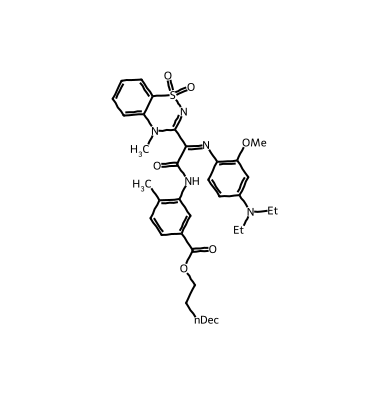 CCCCCCCCCCCCOC(=O)c1ccc(C)c(NC(=O)/C(=N\c2ccc(N(CC)CC)cc2OC)C2=NS(=O)(=O)c3ccccc3N2C)c1